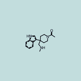 CNCC1(c2c[nH]c3ccccc23)CCN(C(C)=O)CC1